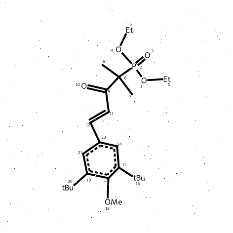 CCOP(=O)(OCC)C(C)(C)C(=O)/C=C/c1cc(C(C)(C)C)c(OC)c(C(C)(C)C)c1